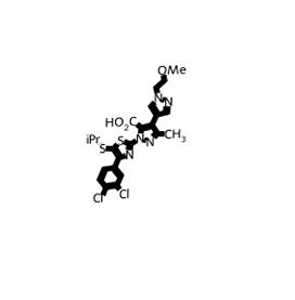 COCCn1cc(-c2c(C)nn(-c3nc(-c4ccc(Cl)c(Cl)c4)c(SC(C)C)s3)c2C(=O)O)cn1